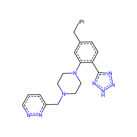 CC(C)Cc1ccc(-c2nn[nH]n2)c(N2CCN(Cc3cccnn3)CC2)c1